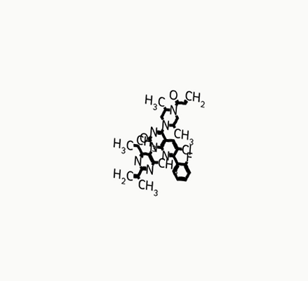 C=CC(=O)N1CC(C)N(c2nc(=O)n(-c3c(C)nc(C(=C)C)nc3C(C)C)c3nc(-c4ccccc4F)c(Cl)cc23)CC1C